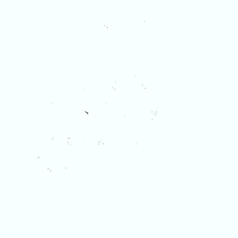 CC(ONC(=O)c1c(N)nc(-c2cccc(C#N)c2)nc1O[C@H]1CCOC1)c1nccn1C